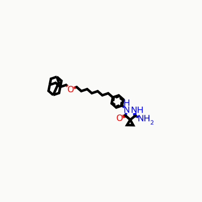 N=C(N)C1(C(=O)Nc2ccc(CCCCCCCOCC34CC5CC(CC(C5)C3)C4)cc2)CC1